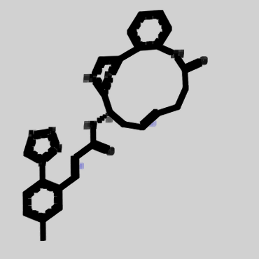 Cc1ccc(-n2cnnn2)c(/C=C/C(=O)N[C@H]2C/C=C/CCC(=O)Nc3ccccc3-c3c[nH]c2n3)c1